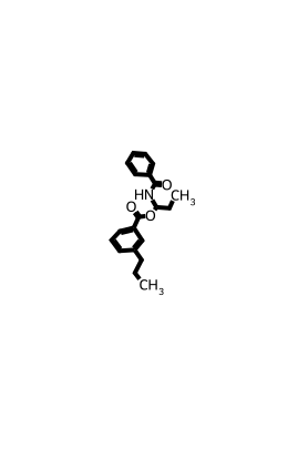 CCCc1cccc(C(=O)OC(CC)NC(=O)c2ccccc2)c1